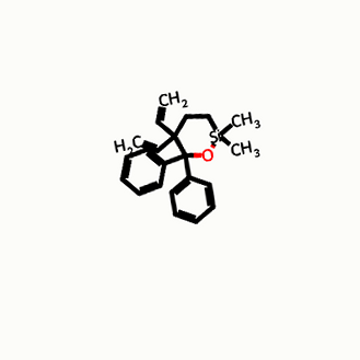 C=CC1(C=C)CC[Si](C)(C)OC1(c1ccccc1)c1ccccc1